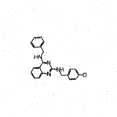 Clc1ccc(CNc2nc(NCc3ccccc3)c3ccccc3n2)cc1